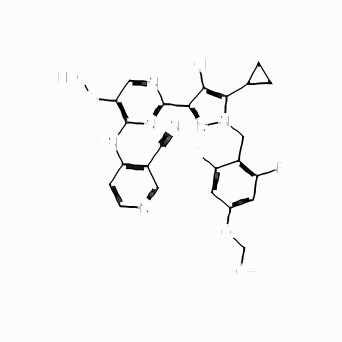 CCOc1cc(F)c(Cn2nc(-c3ncc(OC)c(Nc4ccncc4C#N)n3)c(C)c2C2CC2)c(F)c1